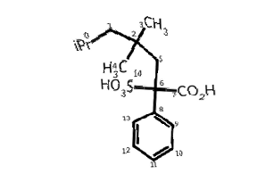 CC(C)CC(C)(C)CC(C(=O)O)(c1ccccc1)S(=O)(=O)O